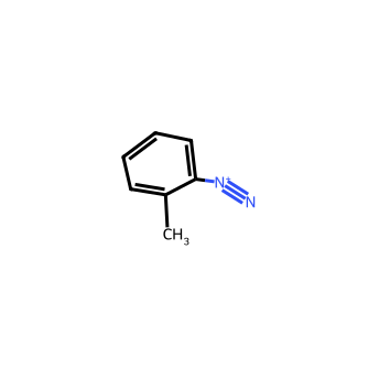 Cc1ccccc1[N+]#N